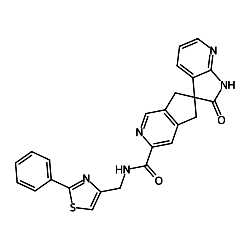 O=C(NCc1csc(-c2ccccc2)n1)c1cc2c(cn1)CC1(C2)C(=O)Nc2ncccc21